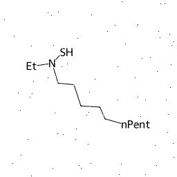 CCCCCCCCCCN(S)CC